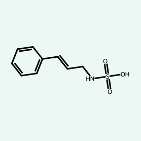 O=S(=O)(O)NCC=Cc1ccccc1